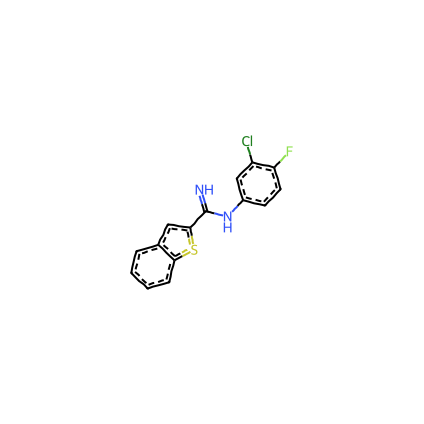 N=C(Nc1ccc(F)c(Cl)c1)c1cc2ccccc2s1